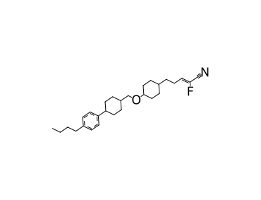 CCCCc1ccc(C2CCC(COC3CCC(CCC=C(F)C#N)CC3)CC2)cc1